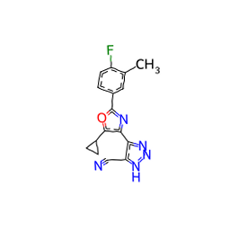 Cc1cc(-c2nc(-c3nn[nH]c3C#N)c(C3CC3)o2)ccc1F